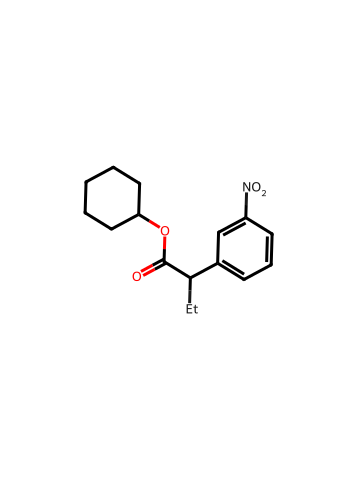 CCC(C(=O)OC1CCCCC1)c1cccc([N+](=O)[O-])c1